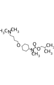 CC(C)COC(=O)N(C)[C@H]1CC[C@H](OCCCCN(C)C)CC1